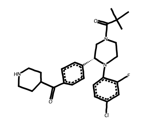 CC(C)(C)C(=O)N1CCN(c2ccc(Cl)cc2F)[C@H](c2ccc(C(=O)C3CCNCC3)cc2)C1